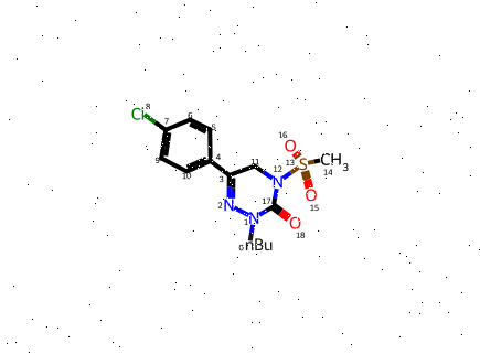 CCCCN1N=C(c2ccc(Cl)cc2)CN(S(C)(=O)=O)C1=O